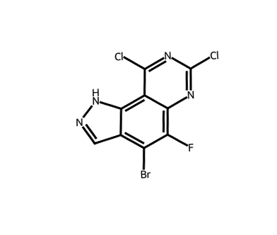 Fc1c(Br)c2cn[nH]c2c2c(Cl)nc(Cl)nc12